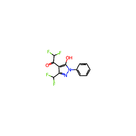 O=C(c1c(C(F)F)nn(-c2ccccc2)c1O)C(F)F